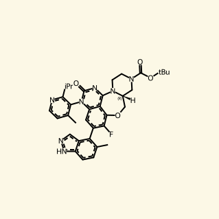 Cc1ccnc(C(C)C)c1-n1c(=O)nc2c3c(c(F)c(-c4c(C)ccc5[nH]ncc45)cc31)OC[C@H]1CN(C(=O)OC(C)(C)C)CCN21